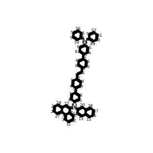 C(=C\c1ccc(-c2ccc(N(c3ccc4ccccc4c3)c3cc4ccccc4c4ccccc34)cc2)cc1)/c1ccc(-c2ccc(N(c3ccccc3)c3ccccc3)cc2)cc1